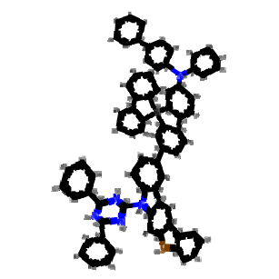 c1ccc(-c2ccc(N(c3ccccc3)c3ccc4c(c3)[Si]3(c5ccccc5-c5ccccc53)c3cc(-c5ccc6c(c5)c5cc7c(cc5n6-c5nc(-c6ccccc6)nc(-c6ccccc6)n5)sc5ccccc57)ccc3-4)cc2)cc1